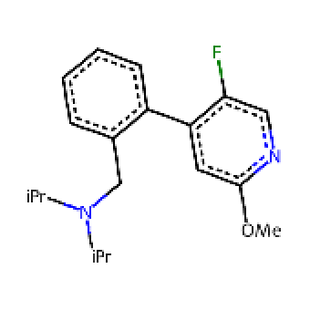 COc1cc(-c2ccccc2CN(C(C)C)C(C)C)c(F)cn1